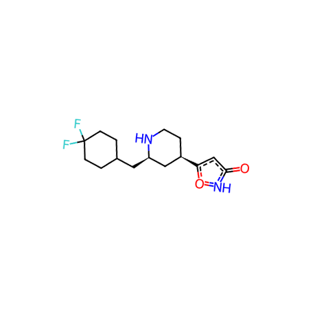 O=c1cc([C@@H]2CCN[C@H](CC3CCC(F)(F)CC3)C2)o[nH]1